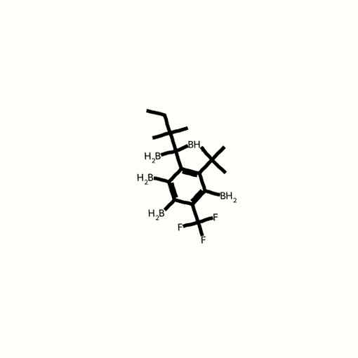 Bc1c(B)c(C(B)(B)C(C)(C)CC)c(C(C)(C)C)c(B)c1C(F)(F)F